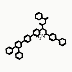 C=C(CC(=C)C(CC(N)c1ccc(C2=CC=CCC2)cc1)c1ccc(-c2ccc(-c3ccc(C4=CCCC=C4)c(C4=CC=CCC4)c3)cc2)cc1)C1=CC=CCC1